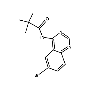 CC(C)(C)C(=O)Nc1ncnc2ccc(Br)cc12